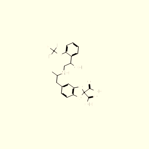 CC(Cc1ccc2c(c1)OC(C(=O)O)(C(=O)O)O2)NCC(O)c1ccccc1OC(F)(F)F